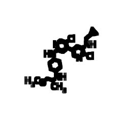 COC[C@H](C)N[C@H]1CC[C@H](Nc2cc(-c3cnc(Cl)c(NCC4CC4)c3)c(Cl)cn2)CC1